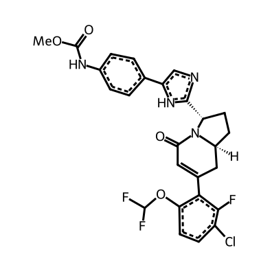 COC(=O)Nc1ccc(-c2cnc([C@@H]3CC[C@H]4CC(c5c(OC(F)F)ccc(Cl)c5F)=CC(=O)N43)[nH]2)cc1